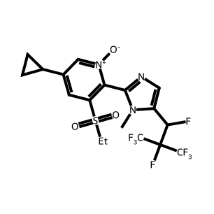 CCS(=O)(=O)c1cc(C2CC2)c[n+]([O-])c1-c1ncc(C(F)C(F)(C(F)(F)F)C(F)(F)F)n1C